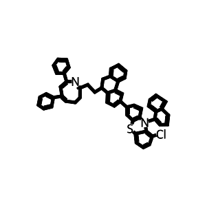 Clc1cccc2c1N(c1cccc3ccccc13)c1ccc(-c3ccc4c(c3)-c3ccccc3CC4CC/C3=N/C(c4ccccc4)=C\C(c4ccccc4)=C/CC3)cc1S2